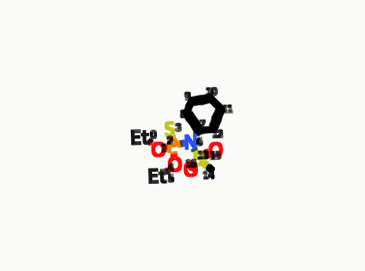 CCOP(=S)(OCC)N(c1ccccc1)S(C)(=O)=O